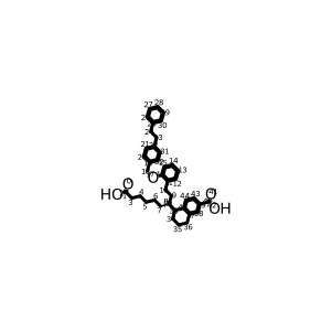 O=C(O)CCCCC[C@@H](CCc1ccccc1OCc1ccc(CCc2ccccc2)cc1)C1CCCc2cc(C(=O)O)ccc21